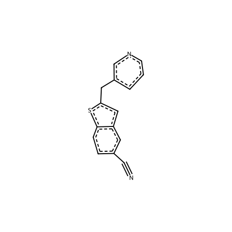 N#Cc1ccc2sc(Cc3cccnc3)cc2c1